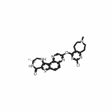 C[C@@H]1CNc2c(sc3ccc4nc(Oc5nc(Cl)nc6c5CCN(C)CC6)cnc4c23)C(=O)N1